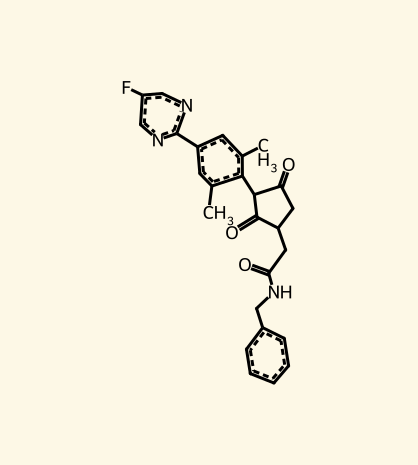 Cc1cc(-c2ncc(F)cn2)cc(C)c1C1C(=O)CC(CC(=O)NCc2ccccc2)C1=O